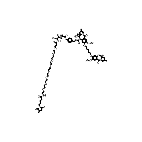 COc1cc2c(cc1OCCCCCOc1cc3c(cc1OC)C(=O)N1C=C(C)C[C@H]1[C@H](O)N3C(=O)OCc1ccc(NC(=O)[C@H](C)NC(=O)[C@@H](NC(=O)CCOCCOCCOCCOCCOCCOCCOCCOCCNC(=O)CCCCN3C(=O)CC(C)C3=O)C(C)C)cc1)N=C[C@@H]1CC(C)=CN1C2=O